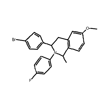 COc1ccc2c(c1)CC(c1ccc(Br)cc1)N(c1ccc(F)cc1)C2C